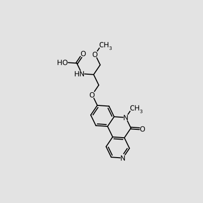 COCC(COc1ccc2c3ccncc3c(=O)n(C)c2c1)NC(=O)O